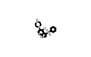 O=S(=O)(c1ccccc1)c1c[nH]c2ncc(N3CCNCC3)c(Cl)c12